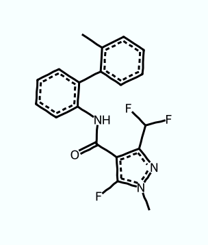 Cc1ccccc1-c1ccccc1NC(=O)c1c(C(F)F)nn(C)c1F